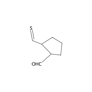 O=[C]C1CCCC1C=S